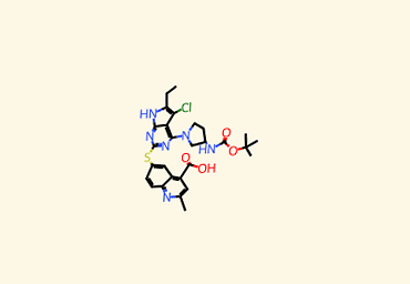 CCc1[nH]c2nc(Sc3ccc4nc(C)cc(C(=O)O)c4c3)nc(N3CC[C@@H](NC(=O)OC(C)(C)C)C3)c2c1Cl